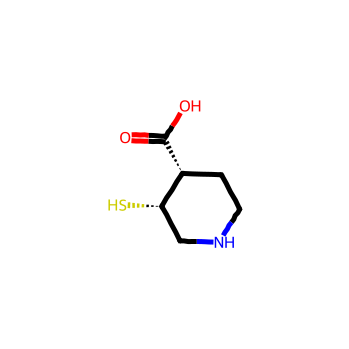 O=C(O)[C@@H]1CCNC[C@@H]1S